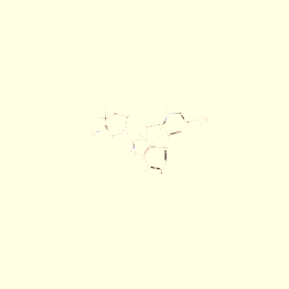 N#Cc1ccc(Cn2c(N3CCC(F)(F)[C@H](N)C3)nc3cc(F)ccc32)nc1